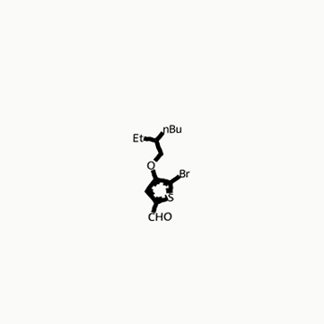 CCCCC(CC)COc1cc(C=O)sc1Br